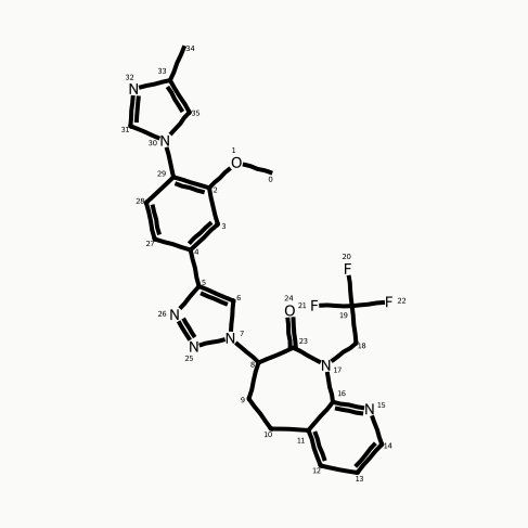 COc1cc(-c2cn(C3CCc4cccnc4N(CC(F)(F)F)C3=O)nn2)ccc1-n1cnc(C)c1